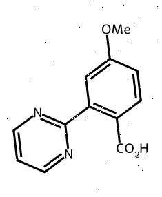 COc1ccc(C(=O)O)c(-c2ncccn2)c1